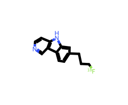 [18F]CCCc1ccc2c(c1)[nH]c1ccncc12